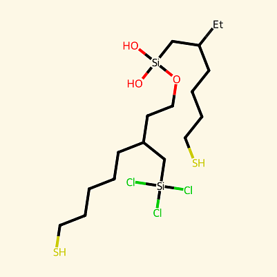 CCC(CCCCS)C[Si](O)(O)OCCC(CCCCCS)C[Si](Cl)(Cl)Cl